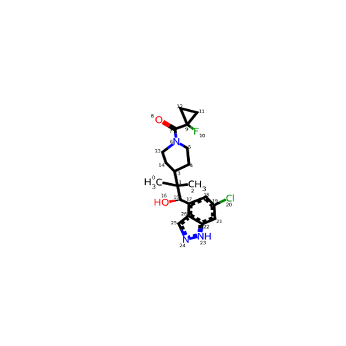 CC(C)(C1CCN(C(=O)C2(F)CC2)CC1)[C@H](O)c1cc(Cl)cc2[nH]ncc12